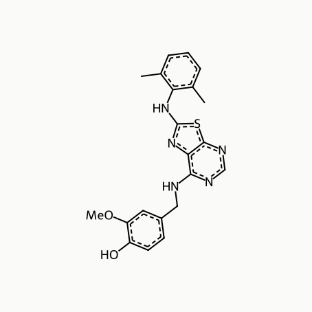 COc1cc(CNc2ncnc3sc(Nc4c(C)cccc4C)nc23)ccc1O